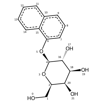 OC[C@H]1O[C@@H](Oc2cccc3ccccc23)[C@H](O)[C@@H](O)[C@H]1O